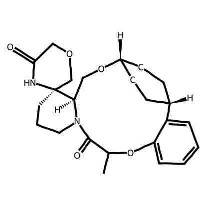 CC1Oc2ccccc2[C@H]2CC[C@H](CC2)OC[C@H]2N(CCC[C@]23COCC(=O)N3)C1=O